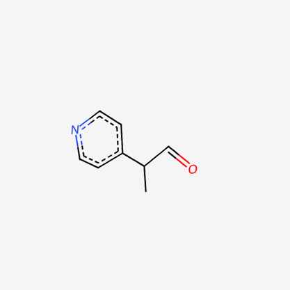 CC(C=O)c1ccncc1